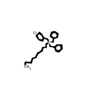 CCCCCCCCCC[P+](Cc1ccccc1)(Cc1ccccc1)Cc1ccccc1.[Cl-]